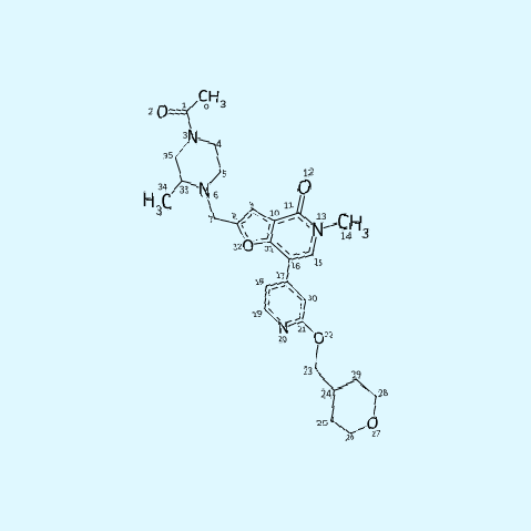 CC(=O)N1CCN(Cc2cc3c(=O)n(C)cc(-c4ccnc(OCC5CCOCC5)c4)c3o2)C(C)C1